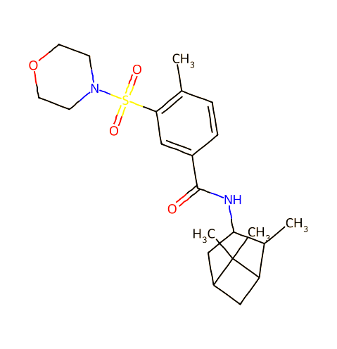 Cc1ccc(C(=O)NC2CC3CC(C2C)C3(C)C)cc1S(=O)(=O)N1CCOCC1